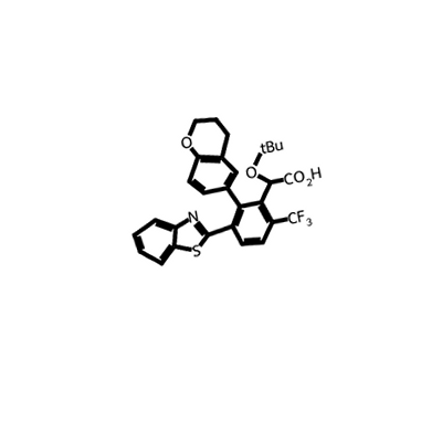 CC(C)(C)OC(C(=O)O)c1c(C(F)(F)F)ccc(-c2nc3ccccc3s2)c1-c1ccc2c(c1)CCCO2